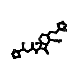 O=C(C[S+]([O-])c1ccco1)NC1C(=O)N2C(C(=O)O)=C(CSc3cnn[nH]3)CS[C@@H]12